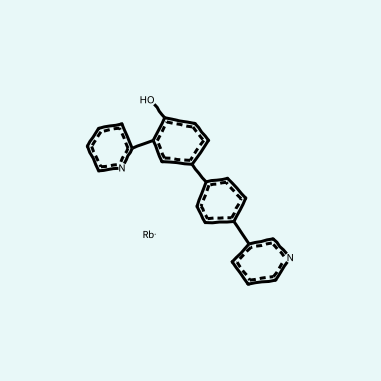 Oc1ccc(-c2ccc(-c3cccnc3)cc2)cc1-c1ccccn1.[Rb]